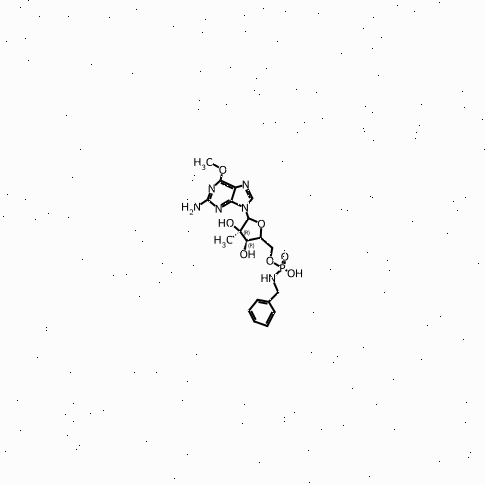 COc1nc(N)nc2c1ncn2C1OC(COP(=O)(O)NCc2ccccc2)[C@@H](O)[C@@]1(C)O